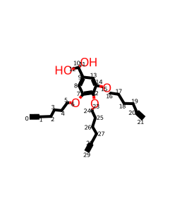 C#CCCCCOc1cc(C(O)O)cc(OCCCCC#C)c1OCCCCC#C